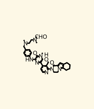 CN(C=O)CCN(C)Cc1ccc(Nc2nc(-c3ccnc(N4CCn5c(cc6c5CCCC6)C4=O)c3CO)cn(C)c2=O)cc1